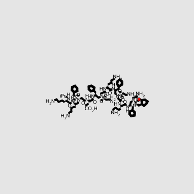 CC(C)N[C@@H](CCCCN)C(=O)N[C@@H](CCCCN)CN(CC(=O)N[C@@H](CCC(=O)O)C(=O)N[C@@H](Cc1ccccc1)CN(CC(=O)N[C@@H](CCCCN)C(=O)NC(Cc1ccccc1)CN(CC(=O)N[C@@H](CCCCN)C(=O)N[C@@H](Cc1ccccc1)CN(CC(N)=O)S(=O)(=O)Cc1ccccc1)S(=O)(=O)CCN)S(=O)(=O)CCN)S(=O)(=O)Cc1ccccc1